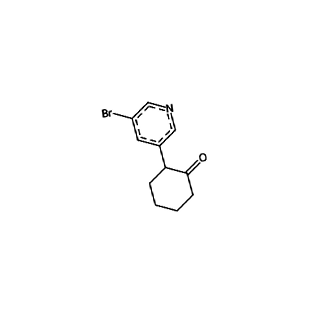 O=C1CCCCC1c1cncc(Br)c1